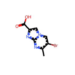 Cc1nc2nc(C(=O)O)cn2cc1Br